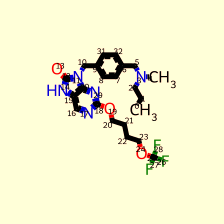 CCCN(C)Cc1ccc(Cn2c(=O)[nH]c3cnc(OCCCCOC(F)(F)F)nc32)cc1